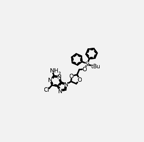 CC(C)(C)[Si](OCC1OCC(n2cnc3c(Cl)nc(N)nc32)O1)(c1ccccc1)c1ccccc1